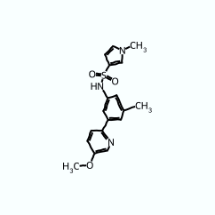 COc1ccc(-c2cc(C)cc(NS(=O)(=O)c3ccn(C)c3)c2)nc1